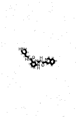 O=C(Nc1nc2c(C(=O)NCCC3CCNCC3)cccc2[nH]1)c1cc2ccccc2cn1